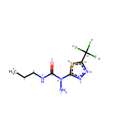 CCCNC(=O)N(N)c1nnc(C(F)(F)F)s1